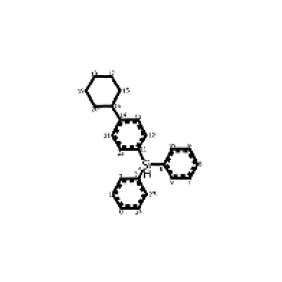 c1ccc([SiH](c2ccccc2)c2ccc(C3CCCCC3)cc2)cc1